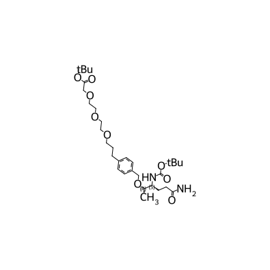 C[C@@H](OCc1ccc(CCCOCCOCCOCC(=O)OC(C)(C)C)cc1)[C@H](CCC(N)=O)NC(=O)OC(C)(C)C